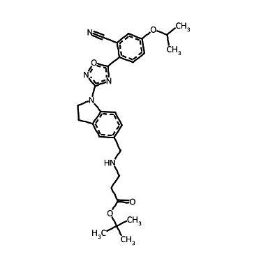 CC(C)Oc1ccc(-c2nc(N3CCc4cc(CNCCC(=O)OC(C)(C)C)ccc43)no2)c(C#N)c1